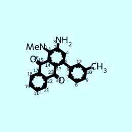 CNc1c(N)cc(-c2cccc(C)c2)c2c1C(=O)c1ccccc1C2=O